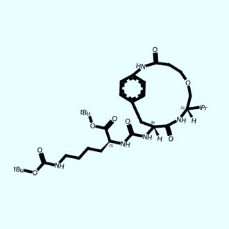 CC(C)[C@H]1COCCC(=O)Nc2ccc(cc2)C[C@@H](NC(=O)N[C@@H](CCCCNC(=O)OC(C)(C)C)C(=O)OC(C)(C)C)C(=O)N1